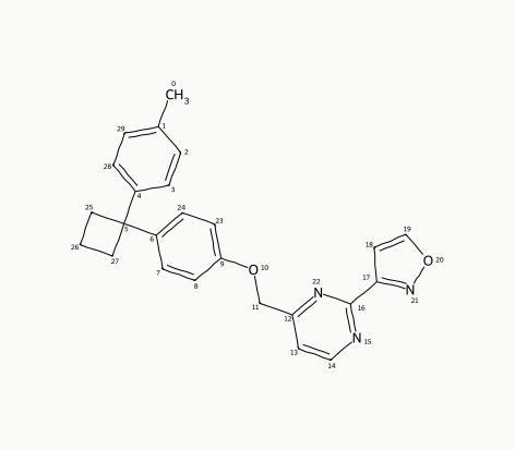 Cc1ccc(C2(c3ccc(OCc4ccnc(-c5ccon5)n4)cc3)CCC2)cc1